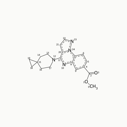 COC(=O)c1ccc2c(c1)nc(N1CCC3(CC1)CC3)c1ccnn12